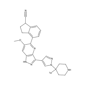 [2H]C1(n2cc(-c3n[nH]c4cc(OC)c(-c5cccc6c5CCC6C#N)nc34)cn2)CCNCC1